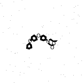 c1ccc(Oc2ccc(Oc3ccc(N(CC4CO4)CC4CO4)cc3)cc2)cc1